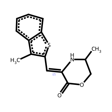 Cc1c(/C=C2\NC(C)COC2=O)sc2ccccc12